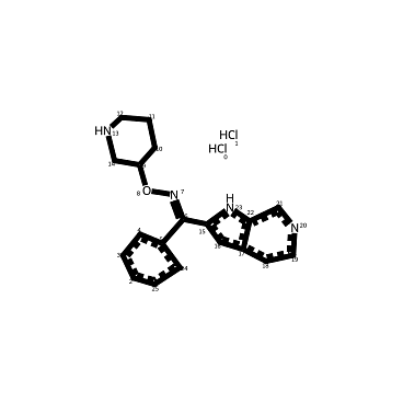 Cl.Cl.c1ccc(/C(=N\OC2CCCNC2)c2cc3ccncc3[nH]2)cc1